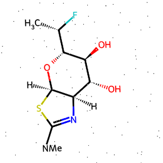 CNC1=N[C@@H]2[C@@H](O)[C@H](O)[C@@H]([C@H](C)F)O[C@@H]2S1